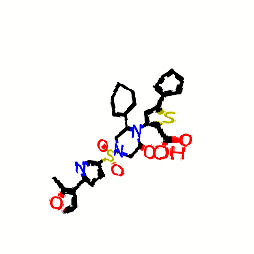 Cc1occc1-c1ccc(S(=O)(=O)N2CC(=O)N(c3cc(-c4ccccc4)sc3C(=O)O)[C@H](C3CCCCC3)C2)cn1